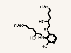 CCCCCCCCCCCCCC(O)CNc1cccc(O)c1NCC(O)CCCCCCCCCCCCC